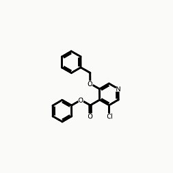 O=C(Oc1ccccc1)c1c(Cl)cncc1OCc1ccccc1